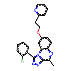 Cc1nc2ccc(OCCc3ccccn3)cc2n2c(-c3ccccc3Cl)nnc12